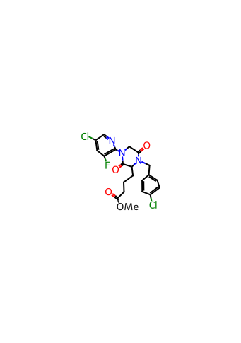 COC(=O)CCCC1C(=O)N(c2ncc(Cl)cc2F)CC(=O)N1Cc1ccc(Cl)cc1